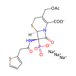 CC(=O)OCC1=C(C(=O)[O-])N2C(=O)[C@](NC(=O)Cc3cccs3)(P(=O)([O-])[O-])[C@H]2SC1.[Na+].[Na+].[Na+]